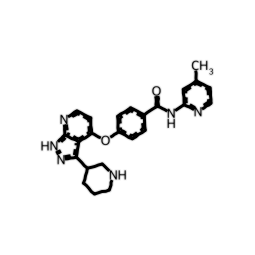 Cc1ccnc(NC(=O)c2ccc(Oc3ccnc4[nH]nc(C5CCCNC5)c34)cc2)c1